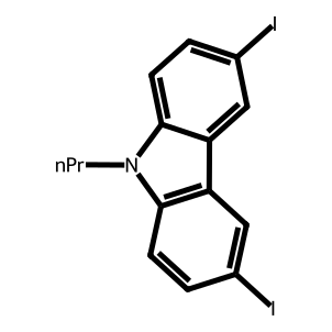 CCCn1c2ccc(I)cc2c2cc(I)ccc21